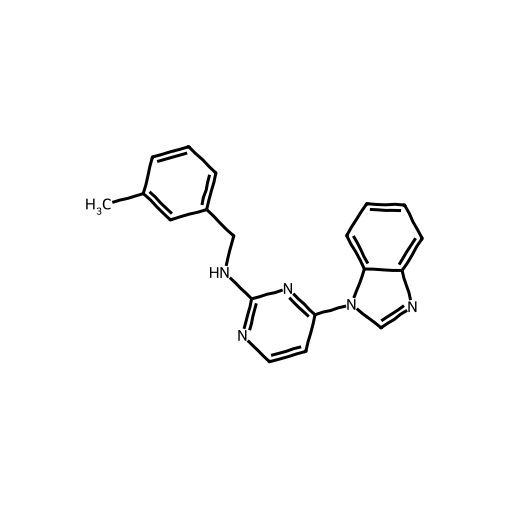 Cc1cccc(CNc2nccc(-n3cnc4ccccc43)n2)c1